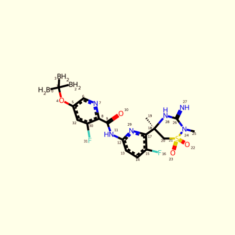 BC(B)(B)Oc1cnc(C(=O)Nc2ccc(F)c([C@]3(C)CS(=O)(=O)N(C)C(=N)N3)n2)c(F)c1